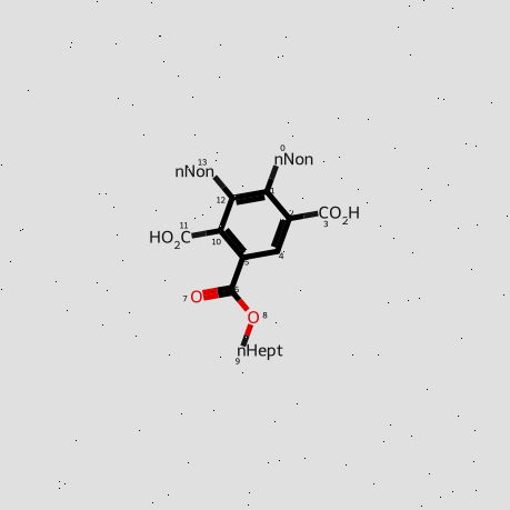 CCCCCCCCCc1c(C(=O)O)cc(C(=O)OCCCCCCC)c(C(=O)O)c1CCCCCCCCC